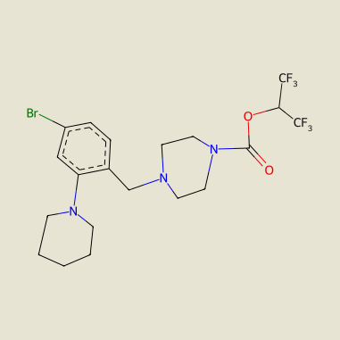 O=C(OC(C(F)(F)F)C(F)(F)F)N1CCN(Cc2ccc(Br)cc2N2CCCCC2)CC1